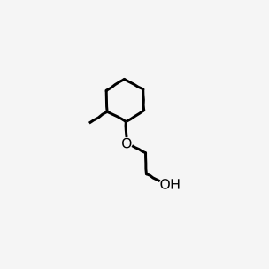 CC1CCCCC1OCCO